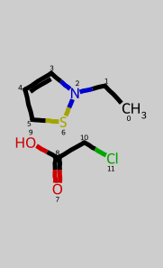 CCN1C=CCS1.O=C(O)CCl